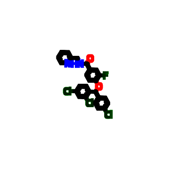 O=C(NCc1ccccn1)c1ccc(OC(c2ccc(Cl)cc2)c2ccc(Cl)cc2Cl)c(F)c1